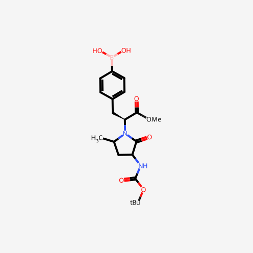 COC(=O)[C@H](Cc1ccc(B(O)O)cc1)N1C(=O)C(NC(=O)OC(C)(C)C)CC1C